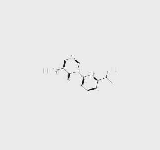 CC(O)c1cccc(-n2cncc(N)c2=O)n1